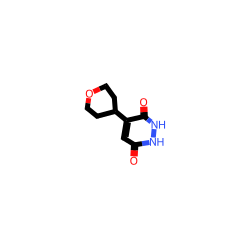 O=c1cc(C2CCOCC2)c(=O)[nH][nH]1